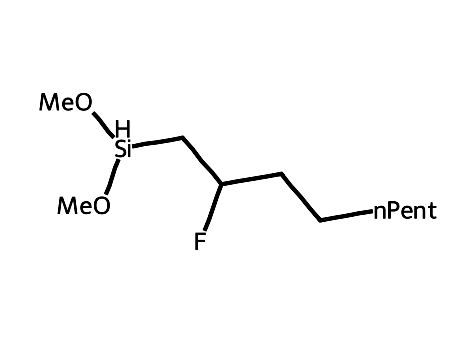 CCCCCCCC(F)C[SiH](OC)OC